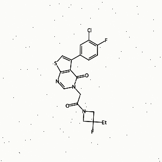 CCC1(F)CN(C(=O)Cn2cnc3scc(-c4ccc(F)c(Cl)c4)c3c2=O)C1